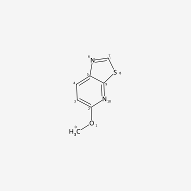 COc1ccc2n[c]sc2n1